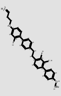 C=CCCOc1ccc(-c2ccc(CCc3ccc(-c4ccc(OCCCC)cc4)c(F)c3F)cc2)c(F)c1